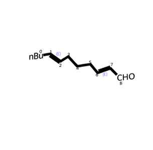 CCCC/C=C/CCC/C=C/C=O